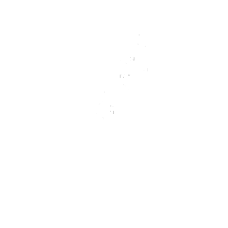 CCCCCCCCCCCC(=O)N[C@@H](CCC(=O)N[C@@H](CS)C(=O)NCC(=O)O)C(=O)O